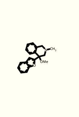 COC1(c2cc3ccccc3o2)CN(C)Cc2ccccc21